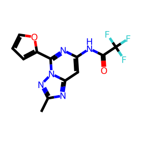 Cc1nc2cc(NC(=O)C(F)(F)F)nc(-c3ccco3)n2n1